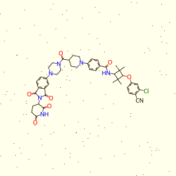 CC1(C)C(NC(=O)c2ccc(N3CCC(C(=O)N4CCN(c5ccc6c(c5)C(=O)N(C5CCC(=O)NC5=O)C6=O)CC4)CC3)cc2)C(C)(C)C1Oc1ccc(C#N)c(Cl)c1